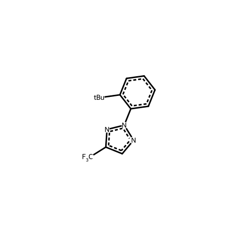 CC(C)(C)c1ccccc1-n1ncc(C(F)(F)F)n1